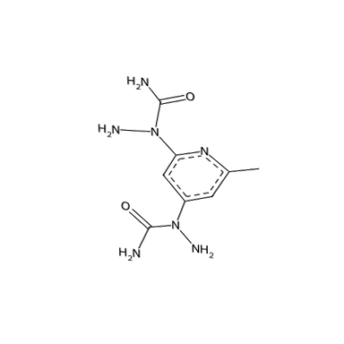 Cc1cc(N(N)C(N)=O)cc(N(N)C(N)=O)n1